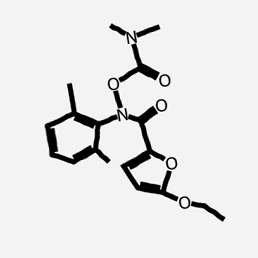 CCOc1ccc(C(=O)N(OC(=O)N(C)C)c2c(C)cccc2C)o1